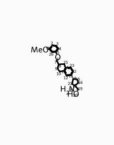 COc1cccc(OCC2CCc3cc([C@@H]4CC[C@](N)(CO)C4)ccc3C2)c1